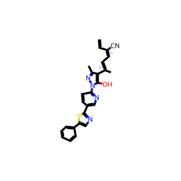 C=C/C(C#N)=C\C=C(/C)c1c(C)nn(-c2ccc(-c3ncc(-c4ccccc4)s3)cn2)c1O